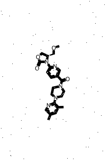 COC[C@@H]1COC(=O)N1c1ccc(C(=O)N2CCN(c3ncc(C)cc3C)CC2)cn1